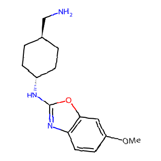 COc1ccc2nc(N[C@H]3CC[C@H](CN)CC3)oc2c1